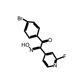 O=C(C(=NO)c1ccnc(F)c1)c1ccc(Br)cc1